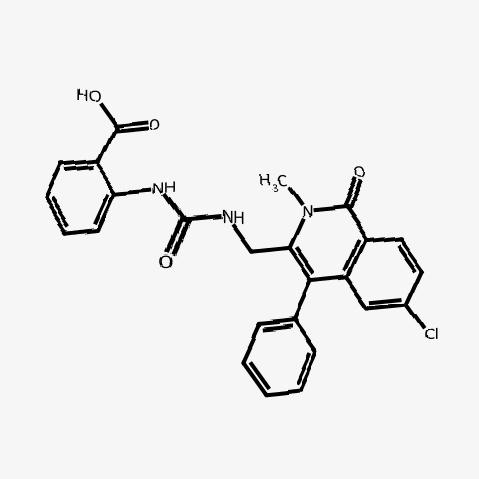 Cn1c(CNC(=O)Nc2ccccc2C(=O)O)c(-c2ccccc2)c2cc(Cl)ccc2c1=O